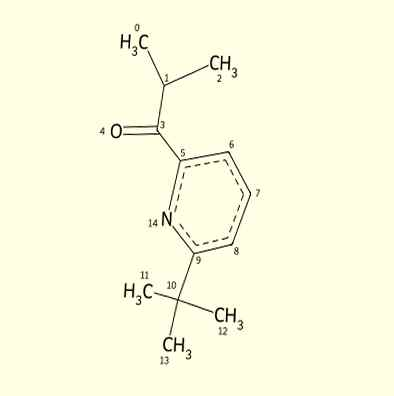 CC(C)C(=O)c1cccc(C(C)(C)C)n1